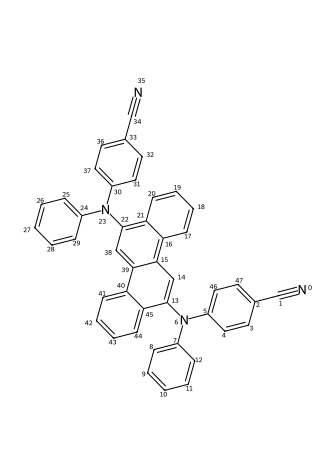 N#Cc1ccc(N(c2ccccc2)c2cc3c4ccccc4c(N(c4ccccc4)c4ccc(C#N)cc4)cc3c3ccccc23)cc1